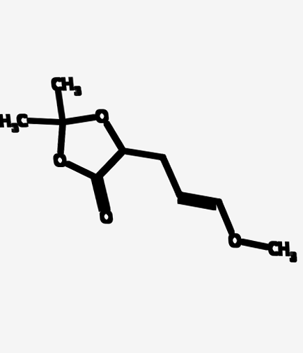 COC=CCC1OC(C)(C)OC1=O